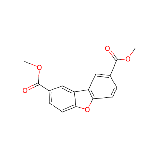 COC(=O)c1ccc2oc3ccc(C(=O)OC)cc3c2c1